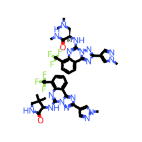 CNC(=O)[C@@H](CN(C)C)Nc1nc2c(C(F)(F)F)cccc2c2nc(-c3cnn(C)c3)nn12.Cn1cc(-c2nc3c4cccc(C(F)(F)F)c4nc(NC4C(=O)NCC4(C)C)n3n2)cn1